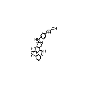 N=c1c2cnc(Nc3ccc(N4CC(O)C4)cc3)nc2[nH]c(=O)n1-c1c(Cl)cccc1Cl